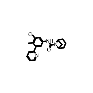 Cc1c(Cl)cc(NC(=O)N2C3CCCC2C3)cc1-c1ccccn1